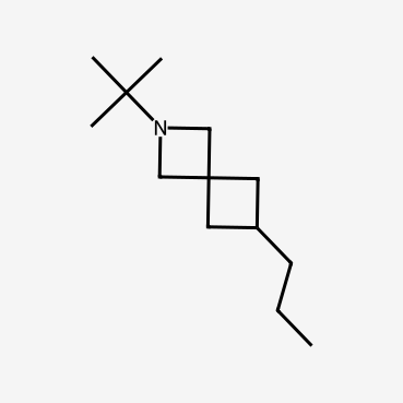 CCCC1CC2(C1)CN(C(C)(C)C)C2